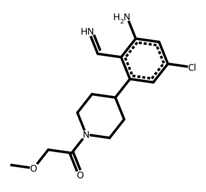 COCC(=O)N1CCC(c2cc(Cl)cc(N)c2C=N)CC1